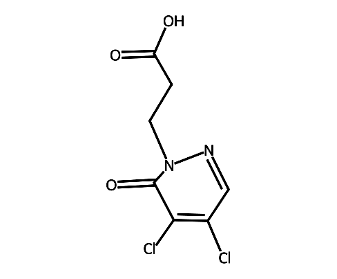 O=C(O)CCn1ncc(Cl)c(Cl)c1=O